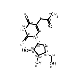 CC(=O)Cc1cn([C@@H]2O[C@H](CO)[C@@H](O)[C@H]2O)c(=S)[nH]c1=O